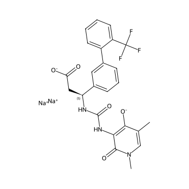 Cc1cn(C)c(=O)c(NC(=O)N[C@@H](CC(=O)[O-])c2cccc(-c3ccccc3C(F)(F)F)c2)c1[O-].[Na+].[Na+]